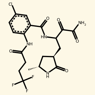 C[C@@H]1C[C@@H](CC(NC(=O)c2cc(Cl)ccc2NC(=O)CCC(F)(F)F)C(=O)C(N)=O)C(=O)N1